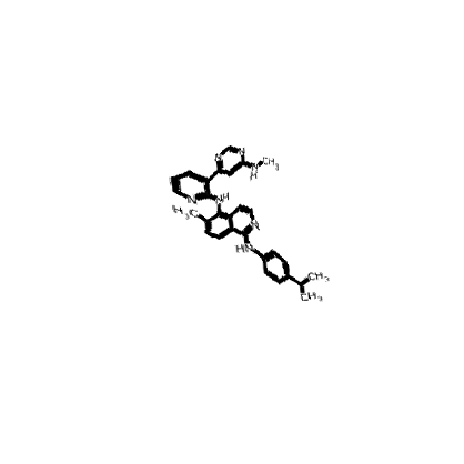 CNc1cc(-c2cccnc2Nc2c(C)ccc3c(Nc4ccc(C(C)C)cc4)nccc23)ncn1